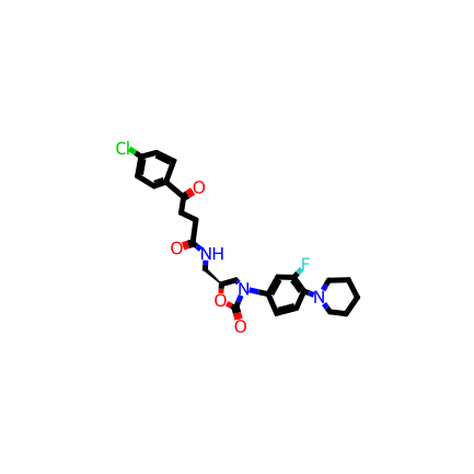 O=C(CCC(=O)c1ccc(Cl)cc1)NC[C@H]1CN(c2ccc(N3CCCCC3)c(F)c2)C(=O)O1